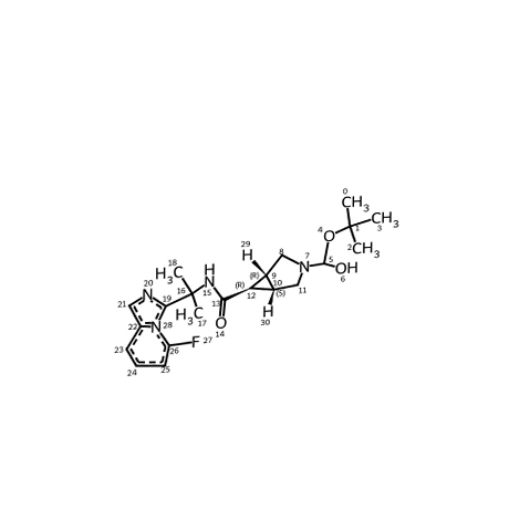 CC(C)(C)OC(O)N1C[C@@H]2[C@H](C1)[C@H]2C(=O)NC(C)(C)c1ncc2cccc(F)n12